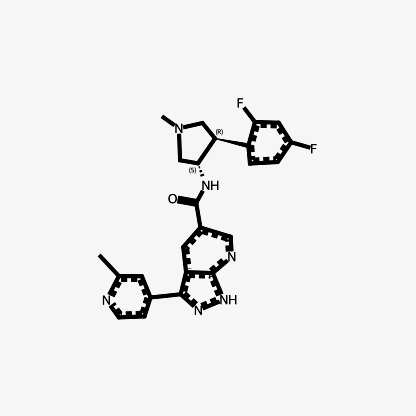 Cc1cc(-c2n[nH]c3ncc(C(=O)N[C@@H]4CN(C)C[C@H]4c4ccc(F)cc4F)cc23)ccn1